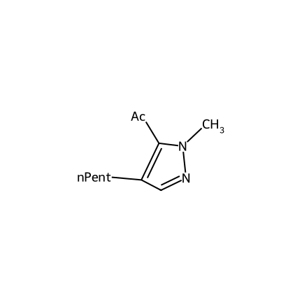 CCCCCc1cnn(C)c1C(C)=O